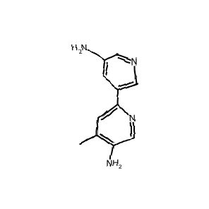 Cc1cc(-c2cncc(N)c2)ncc1N